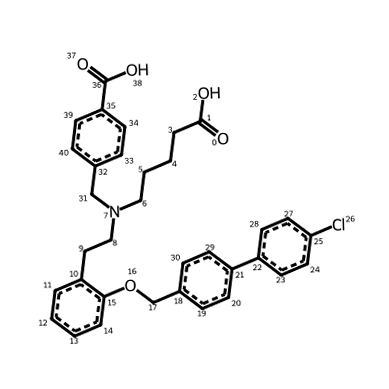 O=C(O)CCCCN(CCc1ccccc1OCc1ccc(-c2ccc(Cl)cc2)cc1)Cc1ccc(C(=O)O)cc1